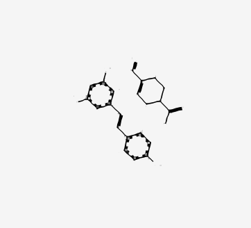 C=C(C)C1CC=C(C=O)CC1.Oc1ccc(/C=C/c2cc(O)cc(O)c2)cc1